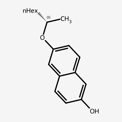 CCCCCC[C@H](C)Oc1ccc2cc(O)ccc2c1